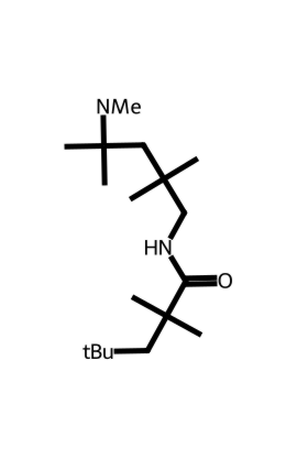 CNC(C)(C)CC(C)(C)CNC(=O)C(C)(C)CC(C)(C)C